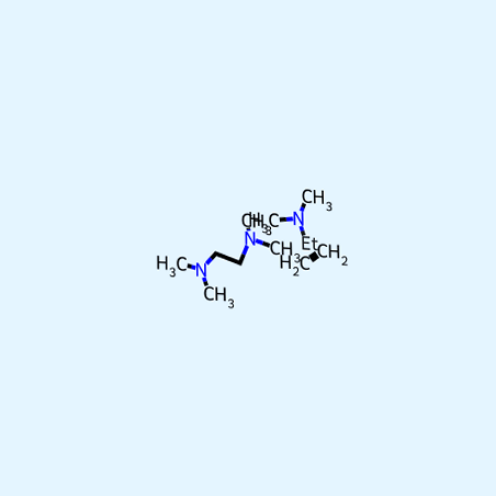 C=C.CN(C)CCN(C)C.[CH2]CN(C)C